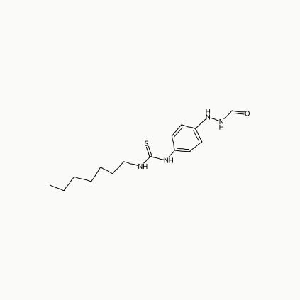 CCCCCCCNC(=S)Nc1ccc(NNC=O)cc1